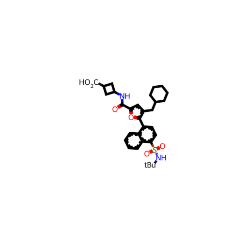 CC(C)(C)NS(=O)(=O)c1ccc(-c2oc(C(=O)NC3CC(C(=O)O)C3)cc2CC2CCCCC2)c2ccccc12